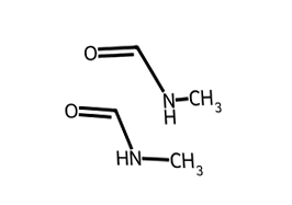 CNC=O.CNC=O